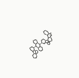 c1ccc2c(c1)oc1c(-c3c4ccccc4c(-c4ccc5c(c4)oc4ccc6sc7ccccc7c6c45)c4ccccc34)cccc12